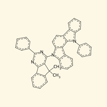 CC1(C)c2ccccc2-c2nc(-c3ccccc3)nc(-n3c4ccccc4c4c3ccc3c5ccccc5n(-c5ccccc5)c34)c21